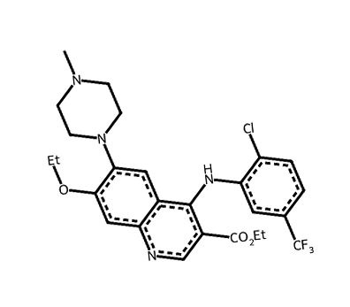 CCOC(=O)c1cnc2cc(OCC)c(N3CCN(C)CC3)cc2c1Nc1cc(C(F)(F)F)ccc1Cl